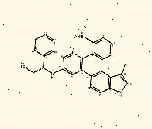 CC(=O)Nc1ccccc1-c1ncc(NC(CO)c2ccccc2)cc1-c1ccc2[nH]nc(C)c2c1